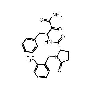 NC(=O)C(=O)C(Cc1ccccc1)NC(=O)[C@@H]1CCC(=O)N1Cc1ccccc1C(F)(F)F